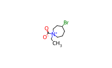 CC[N+]1(C(=O)[O-])CCCC(Br)CC1